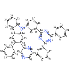 c1ccc(-c2nc(-c3ccccc3)nc(-c3cccc(-n4c5ccccc5c5cc6c7ccccc7c7nccnc7c6cc54)c3)n2)cc1